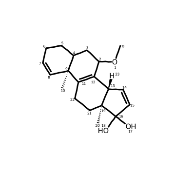 COC1CC2CCC=C[C@]2(C)C2=C1[C@@H]1C=CC(O)(O)[C@@]1(C)CC2